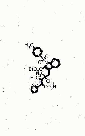 CCOC(=O)c1c(CC(C)(C)/C(C)=C(\C(=O)O)c2cccs2)c2ccccc2n1S(=O)(=O)c1ccc(C)cc1